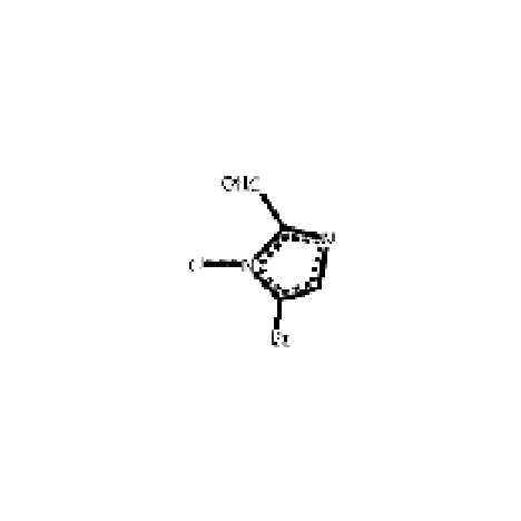 CCc1cnc(C=O)n1Cl